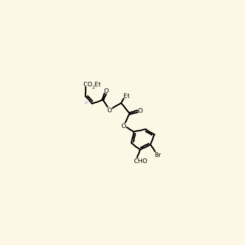 CCOC(=O)/C=C\C(=O)OC(CC)C(=O)Oc1ccc(Br)c(C=O)c1